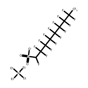 CC[N+](CC)(CC)CC.O=S(=O)([O-])C(F)C(F)(F)C(F)(F)C(F)(F)C(F)(F)C(F)(F)C(F)(F)C(F)(F)C(F)(F)F